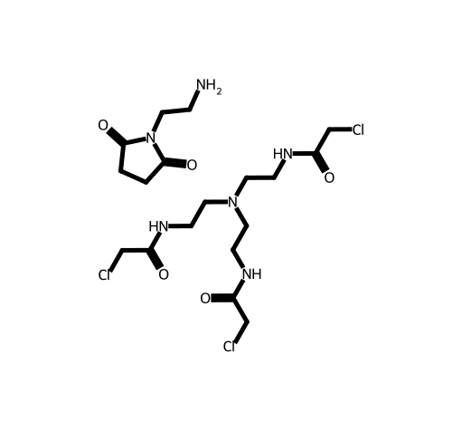 NCCN1C(=O)CCC1=O.O=C(CCl)NCCN(CCNC(=O)CCl)CCNC(=O)CCl